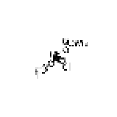 COC(=O)c1cccc(Cn2c(=O)n(-c3ccc(N4CCC(F)(F)CC4)cc3)c3cc(Cl)ccc32)c1